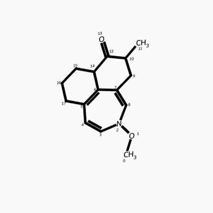 CON1C=CC2=C3C(=C1)CC(C)C(=O)C3CCC2